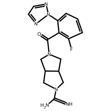 N=C(N)N1CC2CN(C(=O)c3c(F)cccc3-n3nccn3)CC2C1